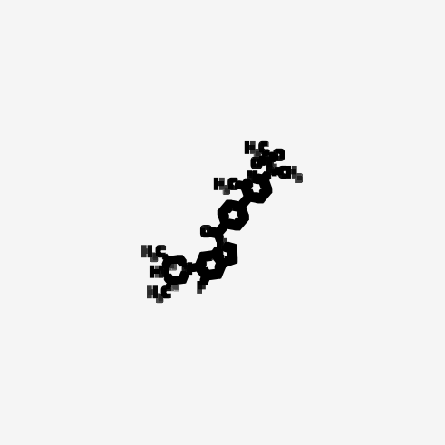 Cc1nc(N(C)S(C)(=O)=O)ccc1-c1ccc(C(=O)n2ccc3cc(F)c(N4C[C@@H](C)N[C@@H](C)C4)cc32)cc1